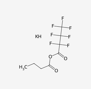 CCCC(=O)OC(=O)C(F)(F)C(F)(F)C(F)(F)F.[KH]